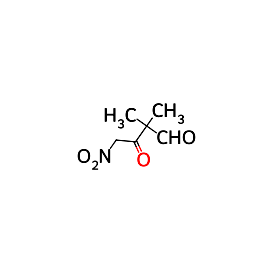 CC(C)(C=O)C(=O)C[N+](=O)[O-]